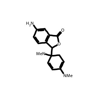 CNC1=CCC(NC)(C2OC(=O)c3cc(N)ccc32)C=C1